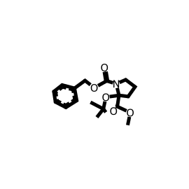 COC(=O)C1(OC(C)(C)C)CCCN1C(=O)OCc1ccccc1